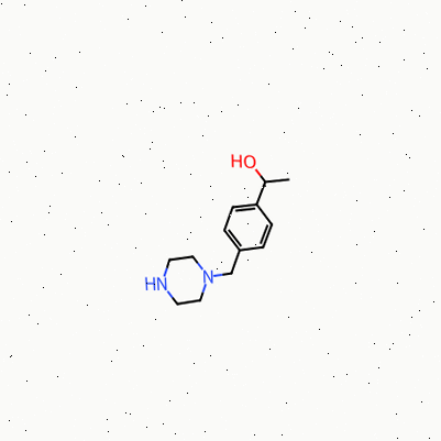 C[C](O)c1ccc(CN2CCNCC2)cc1